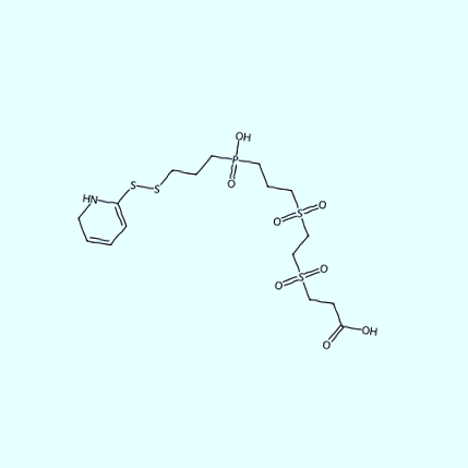 O=C(O)CCS(=O)(=O)CCS(=O)(=O)CCCP(=O)(O)CCCSSC1=CC=CCN1